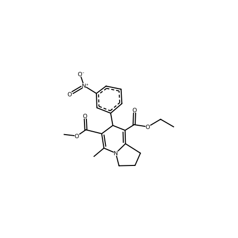 CCOC(=O)C1=C2CCCN2C(C)=C(C(=O)OC)C1c1cccc([N+](=O)[O-])c1